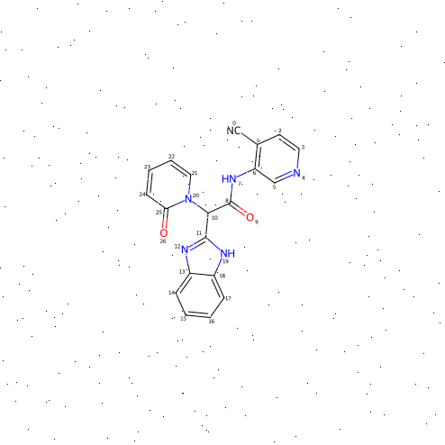 N#Cc1ccncc1NC(=O)C(c1nc2ccccc2[nH]1)n1ccccc1=O